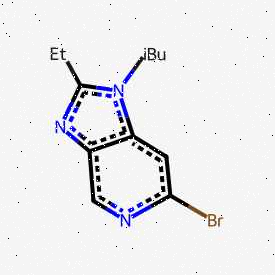 CCc1nc2cnc(Br)cc2n1C(C)CC